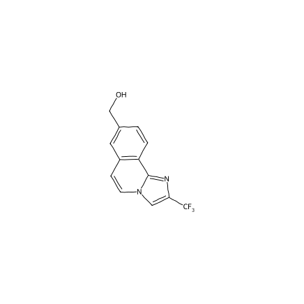 OCc1ccc2c(ccn3cc(C(F)(F)F)nc23)c1